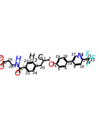 CC(COc1ccc(-c2ccc(C(F)(F)F)nc2)cc1)Cc1ccc(C(=O)NCCC(=O)O)cc1